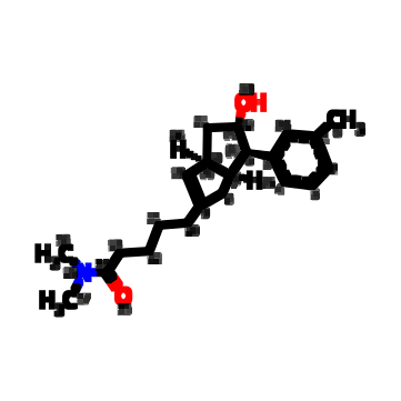 Cc1cccc([C@H]2[C@H]3CC(CCCCC(=O)N(C)C)=C[C@H]3C[C@H]2O)c1